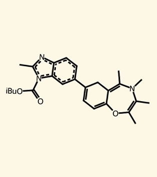 CC1=C(C)N(C)C(C)=C2CC(c3ccc4nc(C)n(C(=O)OCC(C)C)c4c3)=CC=C2O1